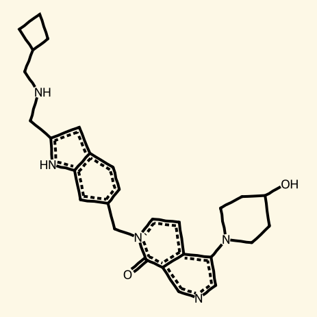 O=c1c2cncc(N3CCC(O)CC3)c2ccn1Cc1ccc2cc(CNCC3CCC3)[nH]c2c1